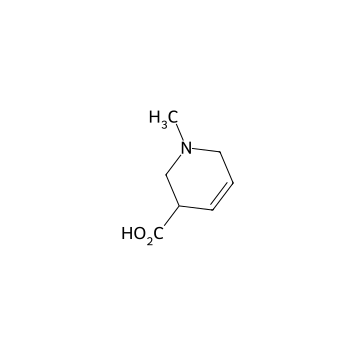 CN1CC=CC(C(=O)O)C1